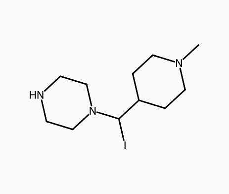 CN1CCC(C(I)N2CCNCC2)CC1